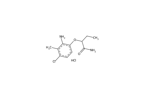 CCC(Oc1ccc(Cl)c(C)c1N)C(N)=O.Cl